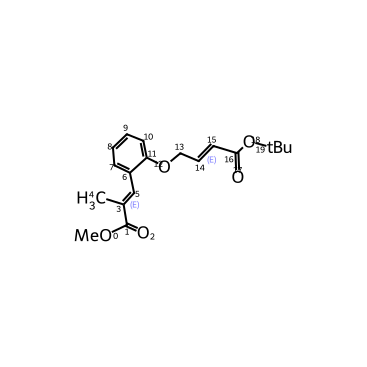 COC(=O)/C(C)=C/c1ccccc1OC/C=C/C(=O)OC(C)(C)C